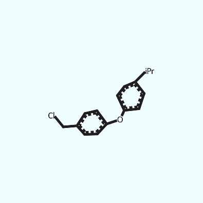 CC(C)c1ccc(Oc2ccc(CCl)cc2)cc1